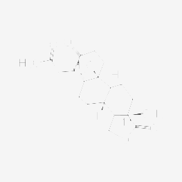 CC(=O)SC1=C2CC[C@@H]3[C@H](CC[C@]4(C)C(=O)OC[C@@H]34)[C@@]2(C)CCC1=O